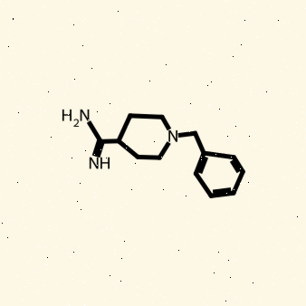 N=C(N)C1CCN(Cc2ccccc2)CC1